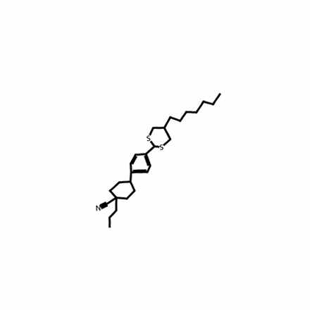 CCCCCCCC1CSC(c2ccc(C3CCC(C#N)(CCC)CC3)cc2)SC1